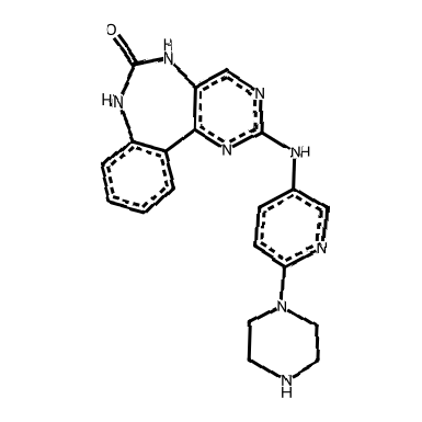 O=C1Nc2ccccc2-c2nc(Nc3ccc(N4CCNCC4)nc3)ncc2N1